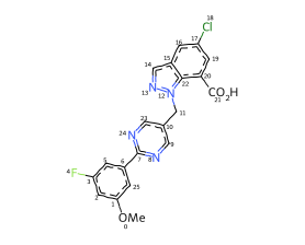 COc1cc(F)cc(-c2ncc(Cn3ncc4cc(Cl)cc(C(=O)O)c43)cn2)c1